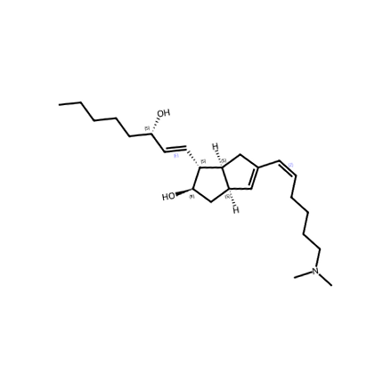 CCCCC[C@H](O)/C=C/[C@@H]1[C@H]2CC(/C=C\CCCCN(C)C)=C[C@H]2C[C@H]1O